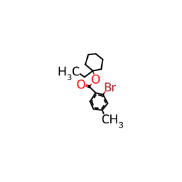 CCC1(OC(=O)c2ccc(C)cc2Br)CCCCC1